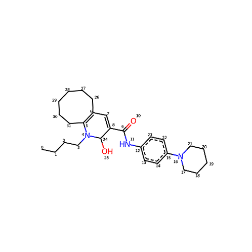 CCCCN1C2=C(C=C(C(=O)Nc3ccc(N4CCCCC4)cc3)C1O)CCCCCC2